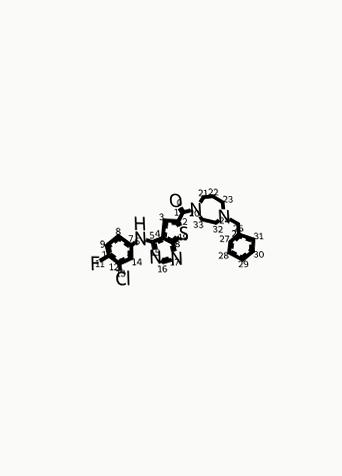 O=C(c1cc2c(Nc3ccc(F)c(Cl)c3)ncnc2s1)N1CCCN(Cc2ccccc2)CC1